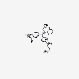 CC(C)CCNc1ccc(/C(=C(/CC(F)(F)F)c2ccccc2)c2ccc3[nH]nc(F)c3c2)cn1